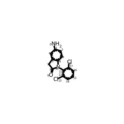 Nc1ccc2c(c1)CC(=O)N2c1c(Cl)cccc1Cl